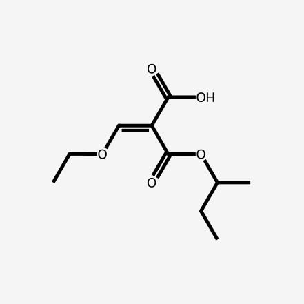 CCOC=C(C(=O)O)C(=O)OC(C)CC